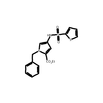 CCOC(=O)c1cc(NS(=O)(=O)c2cccs2)cn1Cc1ccccc1